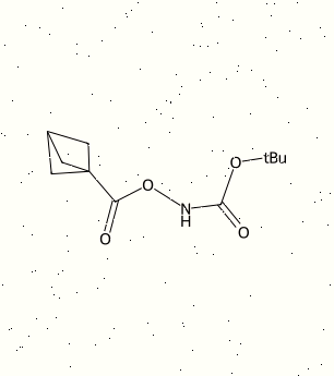 CC(C)(C)OC(=O)NOC(=O)C12CC(C1)C2